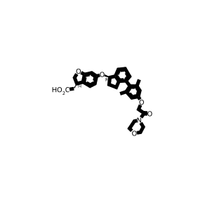 Cc1cc(OCC(=O)N2CCOCC2)cc(C)c1-c1cccc2c1CC[C@H]2Oc1ccc2c(c1)OC[C@H]2CC(=O)O